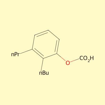 CCCCc1c(CCC)cccc1OC(=O)O